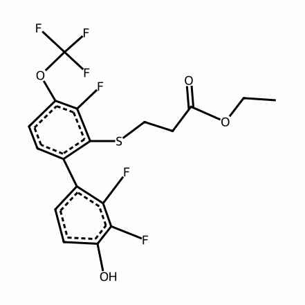 CCOC(=O)CCSc1c(-c2ccc(O)c(F)c2F)ccc(OC(F)(F)F)c1F